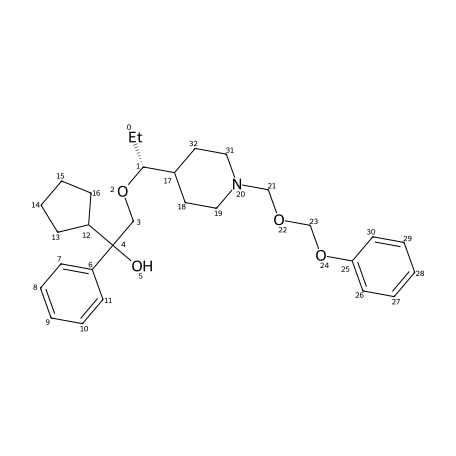 CC[C@@H](OCC(O)(c1ccccc1)C1CCCC1)C1CCN(COCOc2ccccc2)CC1